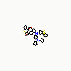 c1ccc(-n2c3ccccc3c3ccc(N(c4ccc5sc6ccccc6c5c4)c4ccc5c6c(cccc46)C4(c6ccccc6Sc6ccccc64)c4ccccc4-5)cc32)cc1